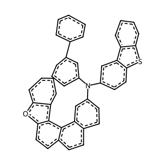 c1ccc(-c2cccc(N(c3ccc4sc5ccccc5c4c3)c3ccc4ccc5ccc6oc7ccccc7c6c5c4c3)c2)cc1